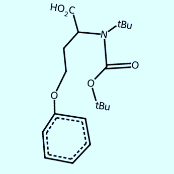 CC(C)(C)OC(=O)N(C(CCOc1ccccc1)C(=O)O)C(C)(C)C